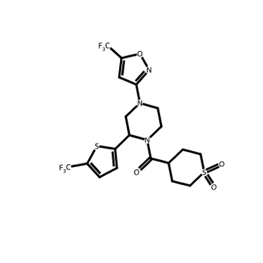 O=C(C1CCS(=O)(=O)CC1)N1CCN(c2cc(C(F)(F)F)on2)CC1c1ccc(C(F)(F)F)s1